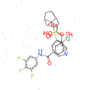 O=C(Nc1cc(F)c(F)c(F)c1)c1ccc(Cl)c(S(=O)(=O)[C@H]2CC3CCC(C2)[C@]3(O)CC(O)C(O)c2cccnc2)c1